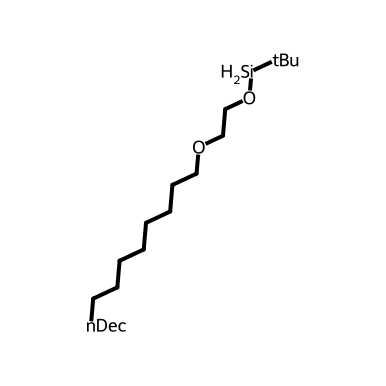 CCCCCCCCCCCCCCCCCCOCCO[SiH2]C(C)(C)C